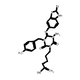 C=C(CCCCn1c(=O)n(N)/c(=N\c2ccc3c(c2)SC(CC)N3)n(Cc2ccc(C)cc2)c1=O)N=O